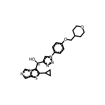 O[C@@H](c1cn(-c2ccc(OCC3CCOCC3)cc2)nn1)c1c(C2CC2)sc2cncn12